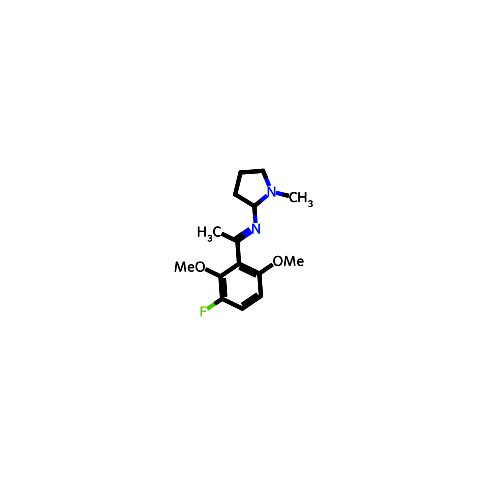 COc1ccc(F)c(OC)c1/C(C)=N/C1CCCN1C